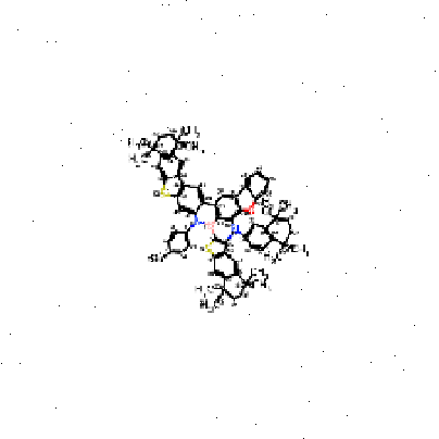 CC(C)(C)c1ccc(N2B3c4sc5cc6c(cc5c4N(c4ccc5c(c4)C(C)(C)CCC5(C)C)c4c3c(cc3c4oc4ccccc43)-c3cc4c(cc32)sc2cc3c(cc24)C(C)(C)CCC3(C)C)C(C)(C)CCC6(C)C)cc1